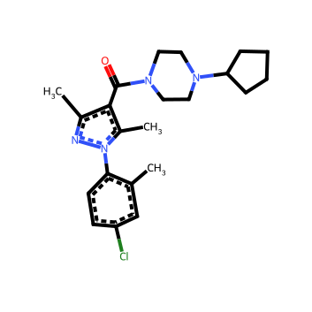 Cc1cc(Cl)ccc1-n1nc(C)c(C(=O)N2CCN(C3CCCC3)CC2)c1C